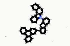 c1cc(-c2ccc3c4ccccc4c4ccccc4c3c2)c2c(c1)-c1cccc(-n3c4ccccc4c4c5ccccc5ccc43)c1C2